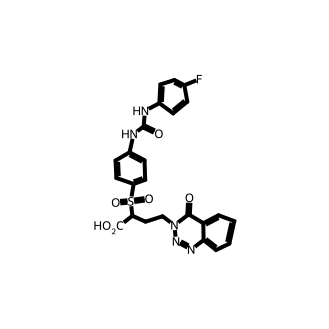 O=C(Nc1ccc(F)cc1)Nc1ccc(S(=O)(=O)C(CCn2nnc3ccccc3c2=O)C(=O)O)cc1